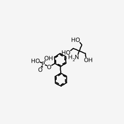 NC(CO)(CO)CO.O=P(O)(O)Oc1ccccc1-c1ccccc1